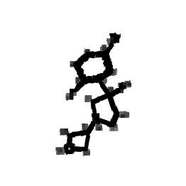 Fc1ccc(Br)cc1C1(F)CCN(C2COC2)C1